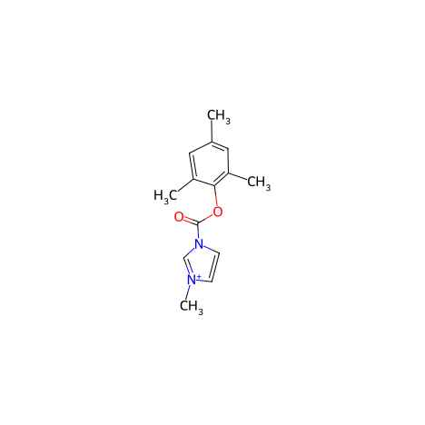 Cc1cc(C)c(OC(=O)n2cc[n+](C)c2)c(C)c1